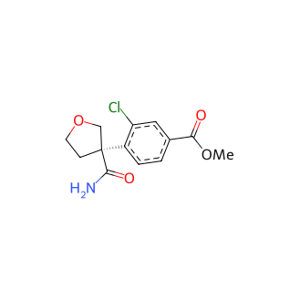 COC(=O)c1ccc([C@]2(C(N)=O)CCOC2)c(Cl)c1